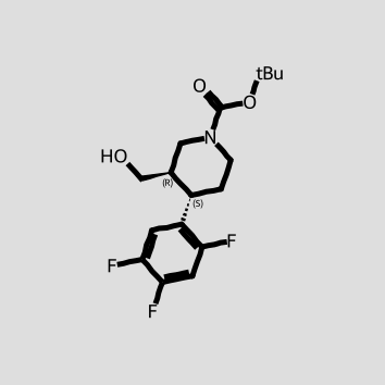 CC(C)(C)OC(=O)N1CC[C@H](c2cc(F)c(F)cc2F)[C@@H](CO)C1